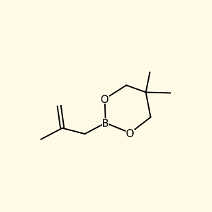 C=C(C)CB1OCC(C)(C)CO1